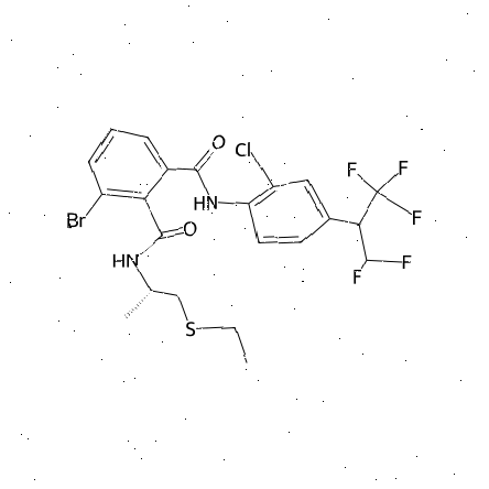 CCSC[C@H](C)NC(=O)c1c(Br)cccc1C(=O)Nc1ccc(C(C(F)F)C(F)(F)F)cc1Cl